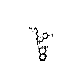 NCCCCN(Cc1cc(Cl)ccn1)C[C@H]1Cc2ccccc2CN1